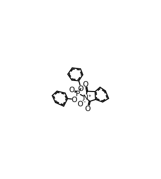 O=C1c2ccccc2C(=O)[N+]1([O-])P(=O)(Oc1ccccc1)Oc1ccccc1